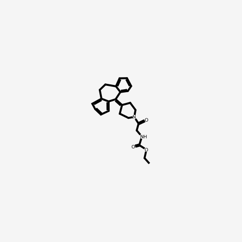 CCOC(=O)NCC(=O)N1CCC(=C2c3ccccc3CCc3ccccc32)CC1